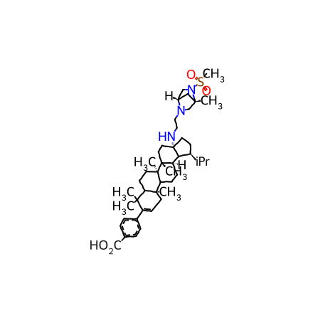 CC(C)[C@@H]1CC[C@]2(NCCN3C[C@]4(C)C[C@H]3CN4S(C)(=O)=O)CC[C@]3(C)[C@H](CCC4[C@@]5(C)CC=C(c6ccc(C(=O)O)cc6)C(C)(C)C5CC[C@]43C)C12